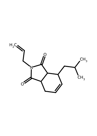 C=CCN1C(=O)C2CC=CC(CC(C)C)C2C1=O